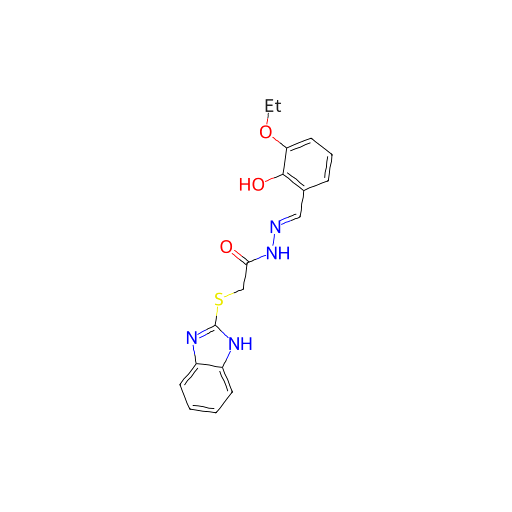 CCOc1cccc(/C=N/NC(=O)CSc2nc3ccccc3[nH]2)c1O